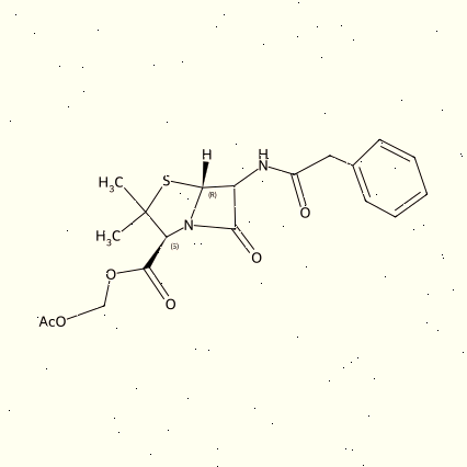 CC(=O)OCOC(=O)[C@@H]1N2C(=O)C(NC(=O)Cc3ccccc3)[C@H]2SC1(C)C